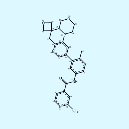 Cc1ccc(NC(=O)c2ccnc(C(F)(F)F)c2)cc1-c1cnc2c(c1)N1CCOCC1C1(COC1)C2